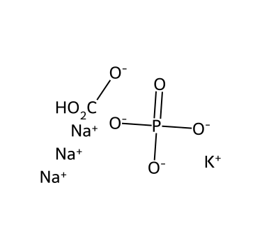 O=C([O-])O.O=P([O-])([O-])[O-].[K+].[Na+].[Na+].[Na+]